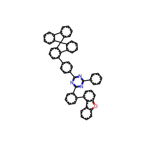 c1ccc(-c2nc(-c3ccc(-c4cccc5c4-c4ccccc4C54c5ccccc5-c5ccccc54)cc3)nc(-c3ccccc3-c3cccc4oc5ccccc5c34)n2)cc1